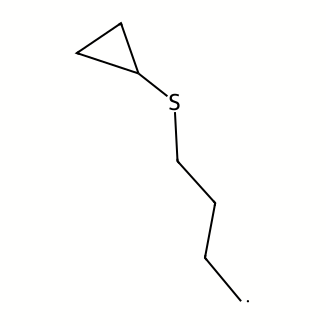 [CH2]CCCSC1CC1